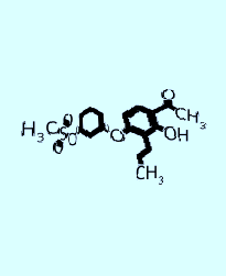 CCCc1c(O[C@H]2CCC[C@@H](OS(C)(=O)=O)C2)ccc(C(C)=O)c1O